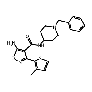 Cc1ccsc1-c1noc(N)c1C(=O)NC1CCN(Cc2ccccc2)CC1